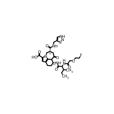 CCC(C)C(NC(=O)COCCF)C(=O)N[C@H]1CCc2cc(C(=O)O)n3c2C1C(=O)C[C@H](C(=O)NCc1c[nH]nn1)C3